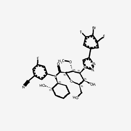 CO[C@@H]1[C@@H](n2cc(-c3cc(F)c(Br)c(F)c3)nn2)[C@@H](O)[C@@H](CO)O[C@H]1C(=O)N(c1cc(F)cc(C#N)c1)[C@H]1CCCC[C@@H]1O